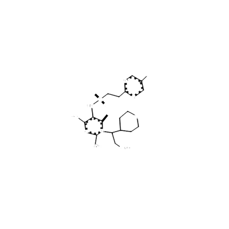 CCCCc1nc(O)c(NS(=O)(=O)CCc2ncc(F)cn2)c(=O)n1C(COC)C1CCOCC1